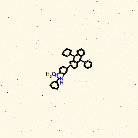 CN1c2ccc(-c3ccc4c(-c5ccccc5)c5ccccc5c(-c5ccccc5)c4c3)cc2NC1c1ccccc1